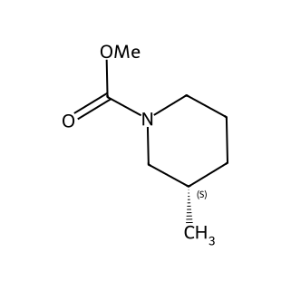 COC(=O)N1CCC[C@H](C)C1